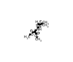 CCOC(=O)C(=CNc1nc(C(C)(C)C)cs1)C(=O)OCC